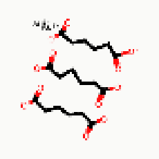 O=C([O-])CCCCC(=O)[O-].O=C([O-])CCCCC(=O)[O-].O=C([O-])CCCCC(=O)[O-].[Au+3].[Au+3]